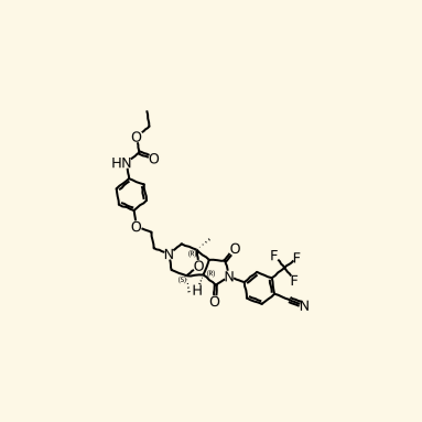 CCOC(=O)Nc1ccc(OCCN2C[C@@]3(C)O[C@@](C)(C2)C2C(=O)N(c4ccc(C#N)c(C(F)(F)F)c4)C(=O)[C@H]23)cc1